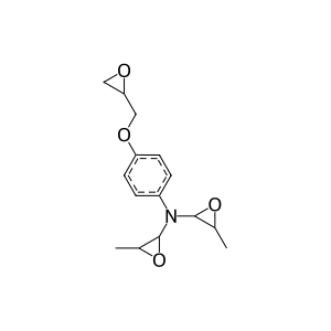 CC1OC1N(c1ccc(OCC2CO2)cc1)C1OC1C